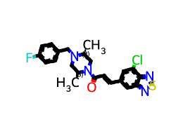 C[C@@H]1CN(C(=O)C=Cc2cc(Cl)c3nsnc3c2)[C@@H](C)CN1Cc1ccc(F)cc1